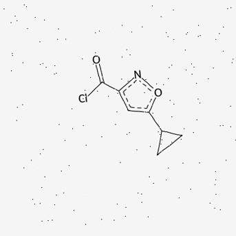 O=C(Cl)c1cc(C2CC2)on1